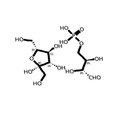 O=C[C@H](O)[C@H](O)COP(=O)(O)O.OC[C@H]1O[C@](O)(CO)[C@@H](O)[C@@H]1O